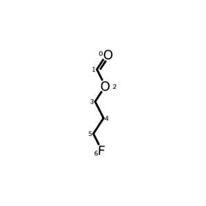 O=COCCCF